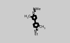 CC/N=N/c1ccc(-c2ccc(N=NNC)c(C)c2)cc1C